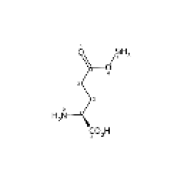 N[C@@H](CCC(=O)O[SiH3])C(=O)O